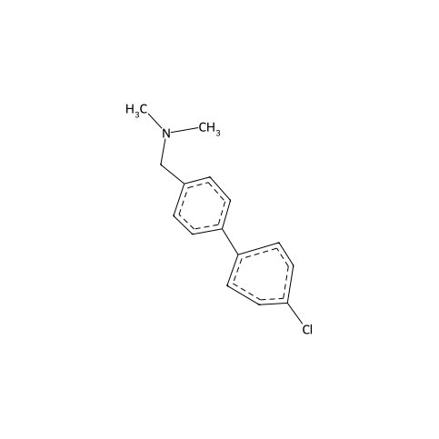 CN(C)Cc1ccc(-c2ccc(Cl)cc2)cc1